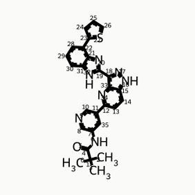 CC(C)(C)C(=O)Nc1cncc(-c2ccc3[nH]nc(-c4nc5c(-c6cccs6)cccc5[nH]4)c3n2)c1